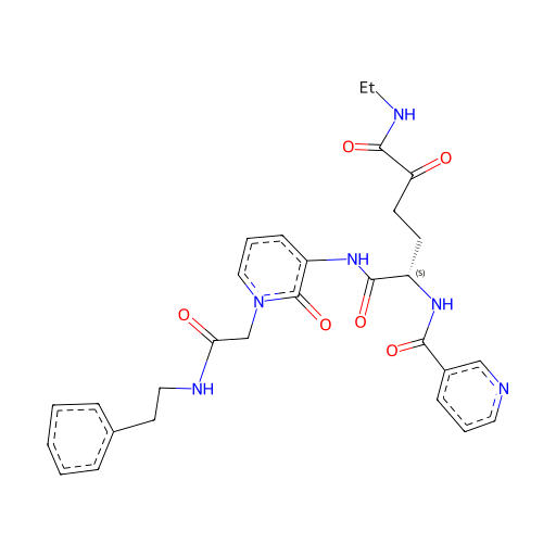 CCNC(=O)C(=O)CC[C@H](NC(=O)c1cccnc1)C(=O)Nc1cccn(CC(=O)NCCc2ccccc2)c1=O